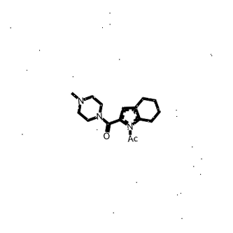 CC(=O)n1c(C(=O)N2CCN(C)CC2)cc2c1CCCC2